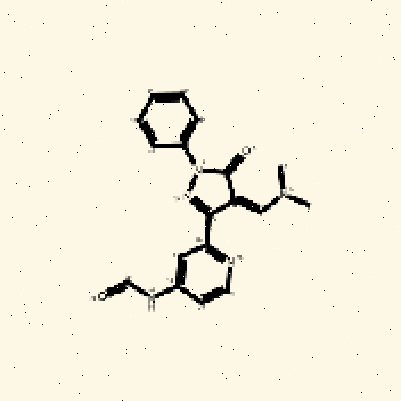 CN(C)C=C1C(=O)N(c2ccccc2)N=C1c1cc(NC=O)ccn1